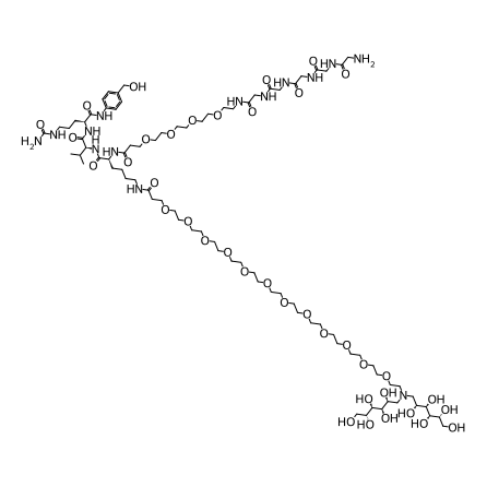 CC(C)[C@H](NC(=O)[C@H](CCCCNC(=O)CCOCCOCCOCCOCCOCCOCCOCCOCCOCCOCCOCCOCCN(C[C@H](O)[C@@H](O)[C@H](O)[C@H](O)CO)C[C@H](O)[C@@H](O)[C@H](O)[C@H](O)CO)NC(=O)CCOCCOCCOCCOCCNC(=O)CNC(=O)CNC(=O)CNC(=O)CNC(=O)CN)C(=O)N[C@@H](CCCNC(N)=O)C(=O)Nc1ccc(CO)cc1